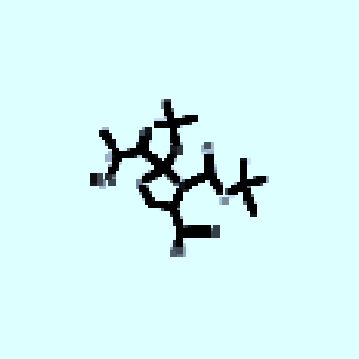 C[C@H](N)C(=O)C1(OC(C)(C)C)SCC(C(=O)O)N1C(=O)OC(C)(C)C